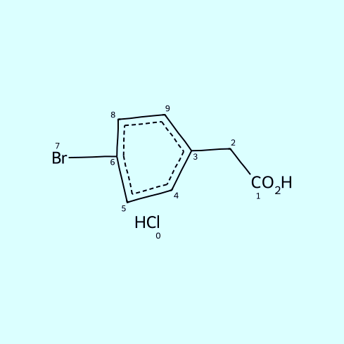 Cl.O=C(O)Cc1ccc(Br)cc1